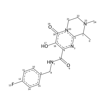 CC1c2nc(C(=O)NCc3ccc(F)cc3)c(O)c(=O)n2CCN1C